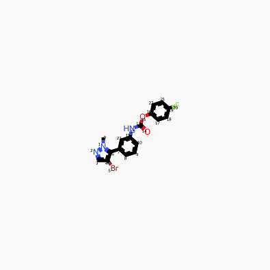 Cn1ncc(Br)c1-c1cccc(NC(=O)Oc2ccc(F)cc2)c1